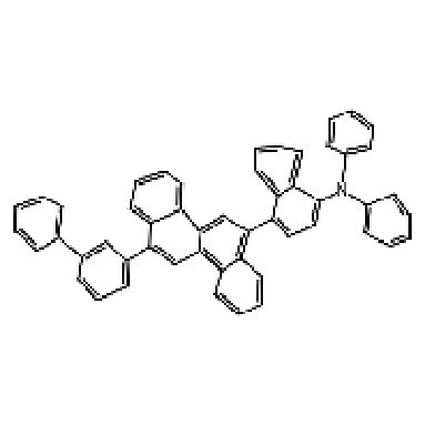 c1ccc(-c2cccc(-c3cc4c5ccccc5c(-c5ccc(N(c6ccccc6)c6ccccc6)c6ccccc56)cc4c4ccccc34)c2)cc1